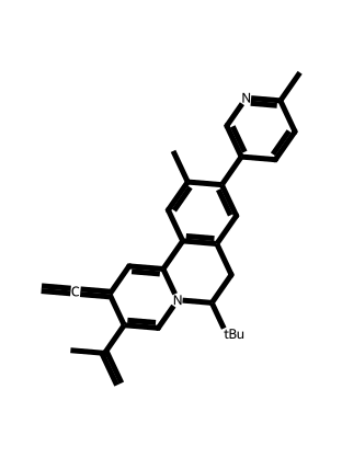 C=C=C1C=C2c3cc(C)c(-c4ccc(C)nc4)cc3CC(C(C)(C)C)N2C=C1C(=C)C